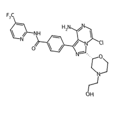 Nc1ncc(Cl)n2c([C@H]3CN(CCO)CCO3)nc(-c3ccc(C(=O)Nc4cc(C(F)(F)F)ccn4)cc3)c12